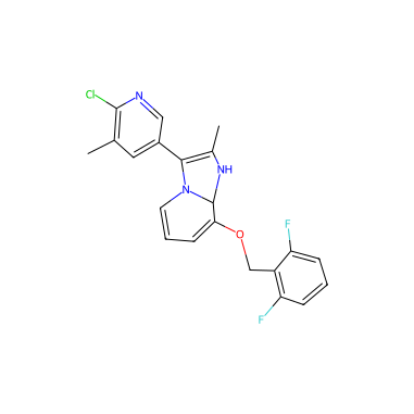 CC1=C(c2cnc(Cl)c(C)c2)N2C=CC=C(OCc3c(F)cccc3F)C2N1